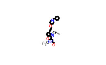 CNC(=O)C(CCC=O)c1nn(C)c2c(C#CCOC3CCN(CC4CCCCC4)CC3)cccc12